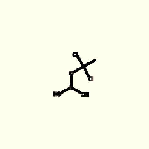 CC(Cl)(Cl)OB(O)O